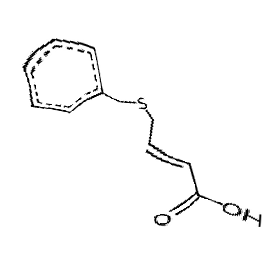 O=C(O)/C=C/Sc1ccccc1